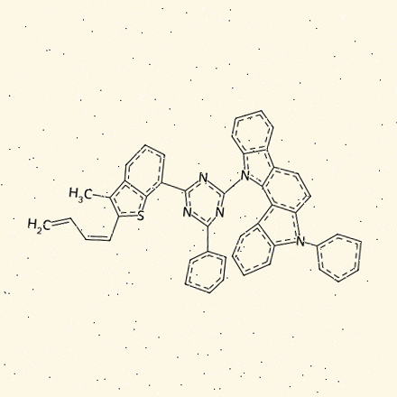 C=C/C=C\c1sc2c(-c3nc(-c4ccccc4)nc(-n4c5ccccc5c5ccc6c(c7ccccc7n6-c6ccccc6)c54)n3)cccc2c1C